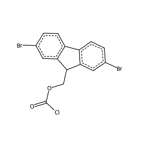 O=C(Cl)OCC1c2cc(Br)ccc2-c2ccc(Br)cc21